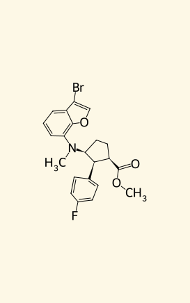 COC(=O)[C@@H]1CC[C@H](N(C)c2cccc3c(Br)coc23)[C@@H]1c1ccc(F)cc1